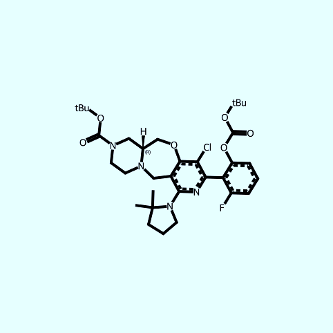 CC(C)(C)OC(=O)Oc1cccc(F)c1-c1nc(N2CCCC2(C)C)c2c(c1Cl)OC[C@H]1CN(C(=O)OC(C)(C)C)CCN1C2